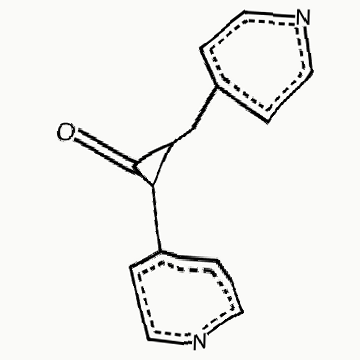 O=C1C(c2ccncc2)C1c1ccncc1